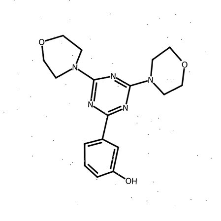 Oc1cccc(-c2nc(N3CCOCC3)nc(N3CCOCC3)n2)c1